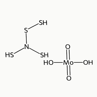 SSN(S)S.[O]=[Mo](=[O])([OH])[OH]